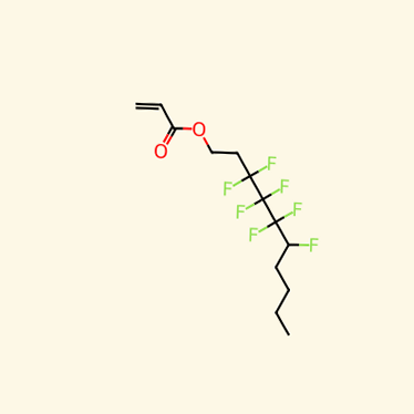 C=CC(=O)OCCC(F)(F)C(F)(F)C(F)(F)C(F)CCCC